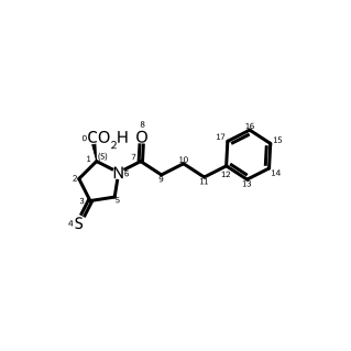 O=C(O)[C@@H]1CC(=S)CN1C(=O)CCCc1ccccc1